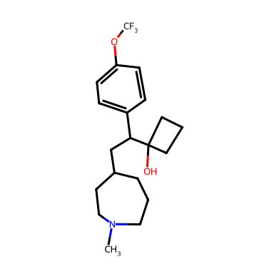 CN1CCCC(CC(c2ccc(OC(F)(F)F)cc2)C2(O)CCC2)CC1